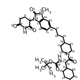 Cn1c(=O)n(C2CCC(=O)NC2=O)c2ccc(CCCC3CCN(C(=O)[C@@H](NC(=O)OC(C)(C)C)C4CCCCC4)CC3)cc21